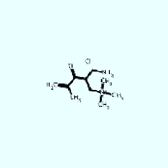 C=C(C)C(=O)C(CN)C[N+](C)(C)C.[Cl-]